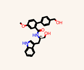 COc1ccc(-c2ccc(CO)cc2)c(C(=O)N[C@@H](CO)Cc2c[nH]c3ccccc23)c1